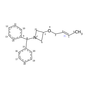 C/C=C/COC1CN(C(c2ccccc2)c2ccccc2)C1